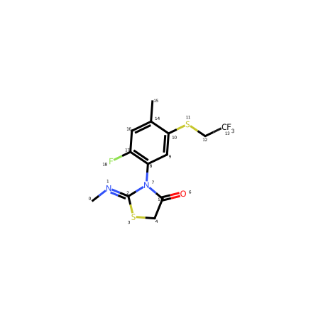 C/N=C1\SCC(=O)N1c1cc(SCC(F)(F)F)c(C)cc1F